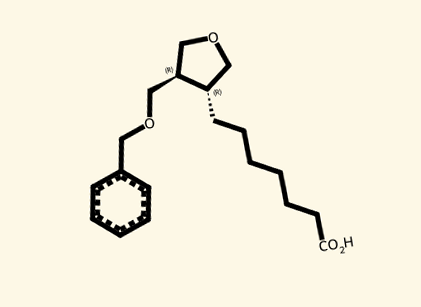 O=C(O)CCCCCC[C@H]1COC[C@@H]1COCc1ccccc1